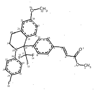 COC(=O)/C=C/c1ccc(C2(C(F)(F)F)c3ccc(OC)cc3CCN2c2ccc(F)cc2)cc1